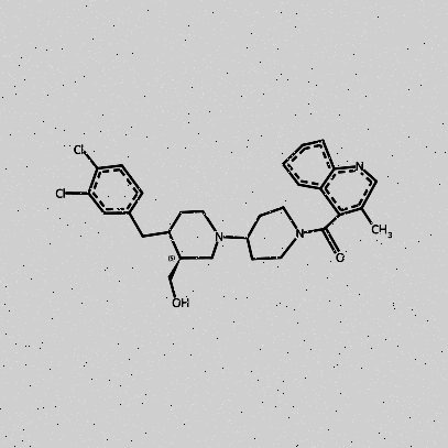 Cc1cnc2ccccc2c1C(=O)N1CCC(N2CCC(Cc3ccc(Cl)c(Cl)c3)[C@H](CO)C2)CC1